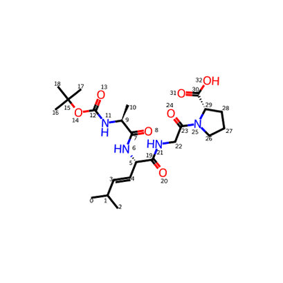 CC(C)/C=C/[C@H](NC(=O)[C@H](C)NC(=O)OC(C)(C)C)C(=O)NCC(=O)N1CCC[C@H]1C(=O)O